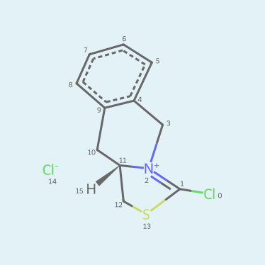 ClC1=[N+]2Cc3ccccc3C[C@H]2CS1.[Cl-]